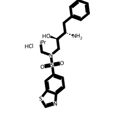 CC(C)CN(C[C@@H](O)[C@@H](N)Cc1ccccc1)S(=O)(=O)c1ccc2ncsc2c1.Cl